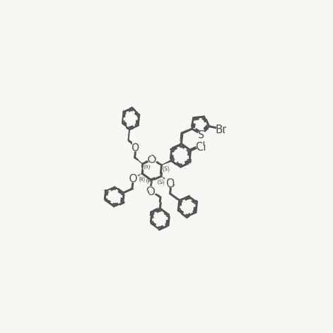 Clc1ccc([C@@H]2O[C@H](COCc3ccccc3)[C@@H](OCc3ccccc3)[C@H](OCc3ccccc3)[C@H]2OCc2ccccc2)cc1Cc1ccc(Br)s1